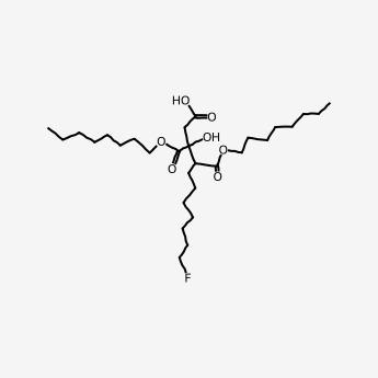 CCCCCCCCOC(=O)C(CCCCCCCF)C(O)(CC(=O)O)C(=O)OCCCCCCCC